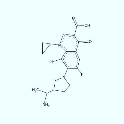 CC(N)C1CCN(c2c(F)cc3c(=O)c(C(=O)O)cn(C4CC4)c3c2Cl)C1